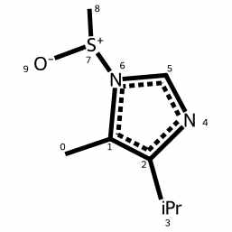 Cc1c(C(C)C)ncn1[S+](C)[O-]